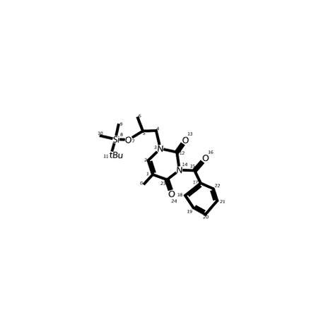 Cc1cn(CC(C)O[Si](C)(C)C(C)(C)C)c(=O)n(C(=O)c2ccccc2)c1=O